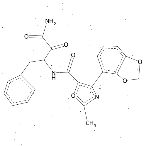 Cc1nc(-c2cccc3c2OCO3)c(C(=O)NC(Cc2ccccc2)C(=O)C(N)=O)o1